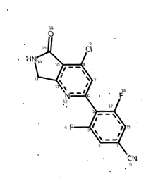 N#Cc1cc(F)c(-c2cc(Cl)c3c(n2)CNC3=O)c(F)c1